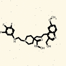 COc1ccc2ncc(CO)c(CCCC3(C(=O)NO)CCN(CCNc4cc(F)c(F)c(F)c4)CC3)c2c1